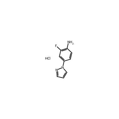 Cl.Nc1ccc(-n2cccn2)cc1F